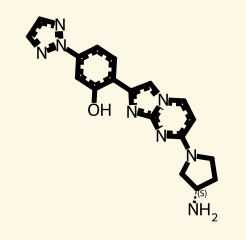 N[C@H]1CCN(c2ccn3cc(-c4ccc(-n5nccn5)cc4O)nc3n2)C1